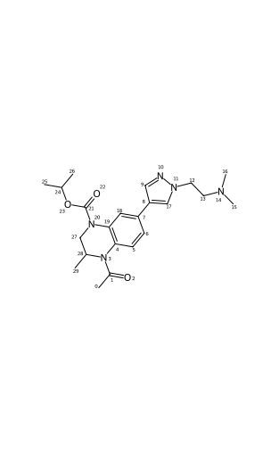 CC(=O)N1c2ccc(-c3cnn(CCN(C)C)c3)cc2N(C(=O)OC(C)C)CC1C